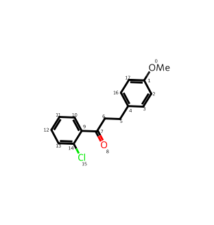 COc1ccc(CCC(=O)c2ccccc2Cl)cc1